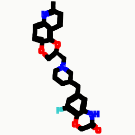 Cc1ccc2c3c(ccc2n1)OC[C@H](CN1CCCC(Cc2cc(F)c4c(c2)NC(=O)CO4)C1)O3